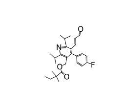 CCC(C)(C)C(=O)OCc1c(C(C)C)nc(C(C)C)c(C=CC=O)c1-c1ccc(F)cc1